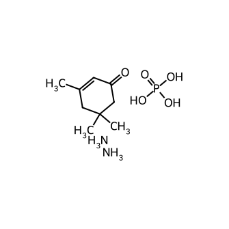 CC1=CC(=O)CC(C)(C)C1.N.N.O=P(O)(O)O